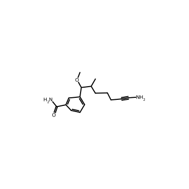 COC(c1cccc(C(N)=O)c1)C(C)CCCC#CN